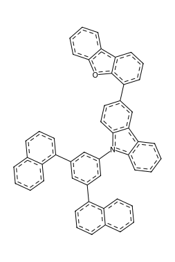 c1ccc2c(-c3cc(-c4cccc5ccccc45)cc(-n4c5ccccc5c5cc(-c6cccc7c6oc6ccccc67)ccc54)c3)cccc2c1